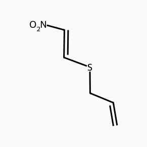 C=CCSC=C[N+](=O)[O-]